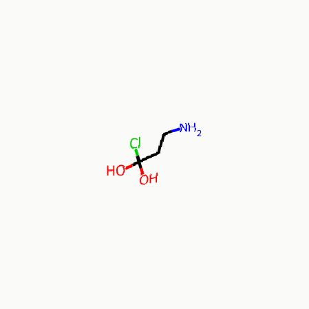 NCCC(O)(O)Cl